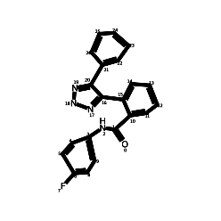 O=C(Nc1ccc(F)cc1)c1ccccc1C1=N[N]N=C1c1ccccc1